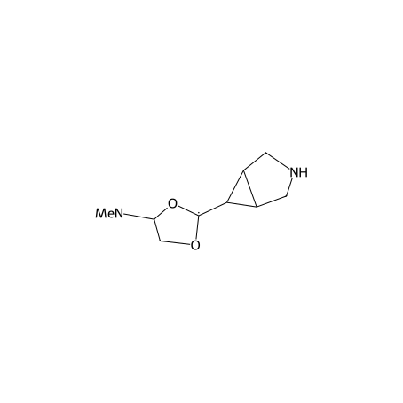 CNC1CO[C](C2C3CNCC32)O1